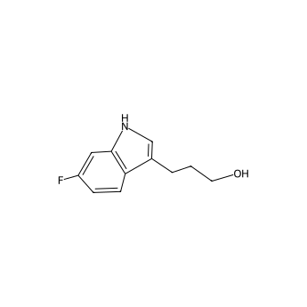 OCCCc1c[nH]c2cc(F)ccc12